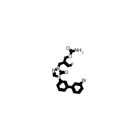 NC(=O)OCC(=CF)Cn1ncn(-c2cccc(-c3cccc(Br)c3)c2)c1=O